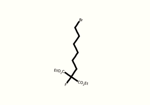 CCOC(=O)C(F)(CCCCCCBr)C(=O)OCC